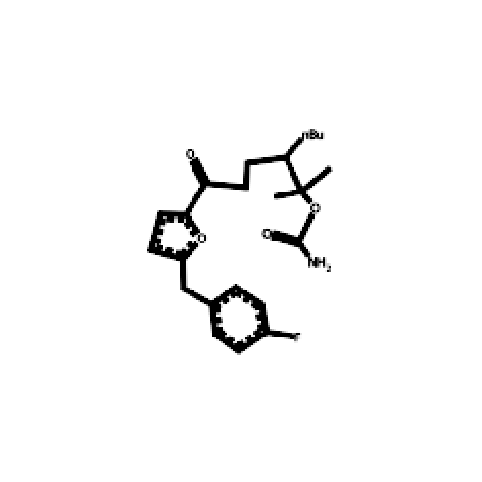 CCCCC(CCC(=O)c1ccc(Cc2ccc(F)cc2)o1)C(C)(C)OC(N)=O